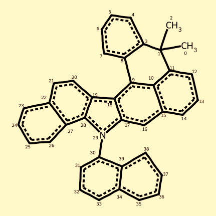 CC1(C)c2ccccc2-c2c3c1cccc3cc1c2c2ccc3ccccc3c2n1-c1cccc2ccccc12